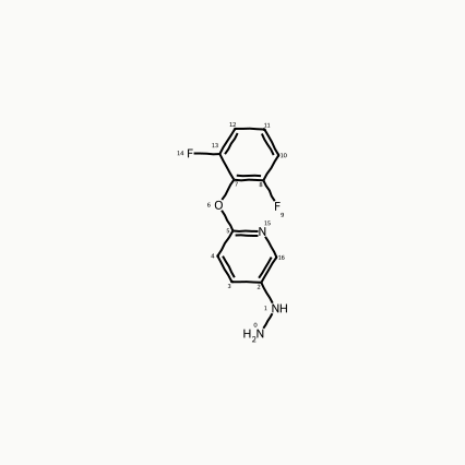 NNc1ccc(Oc2c(F)cccc2F)nc1